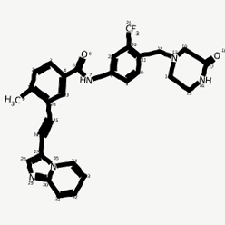 Cc1ccc(C(=O)Nc2ccc(CN3CCNC(=O)C3)c(C(F)(F)F)c2)cc1C#Cc1cnc2ccccn12